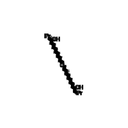 CC(C)CC(O)CCCCCCCCCCOCCCCCCCCCCC(O)CC(C)C